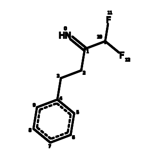 N=C(CCc1ccccc1)[C](F)F